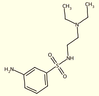 CCN(CC)CCNS(=O)(=O)c1cccc(N)c1